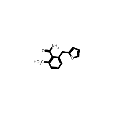 NC(=O)c1c(Cc2ccco2)cccc1C(=O)O